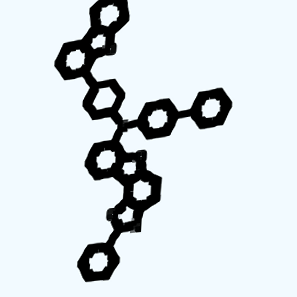 C1=C(c2cccc3c2oc2ccccc23)CCC(N(c2ccc(-c3ccccc3)cc2)c2cccc3c2oc2ccc4nc(-c5ccccc5)oc4c23)=C1